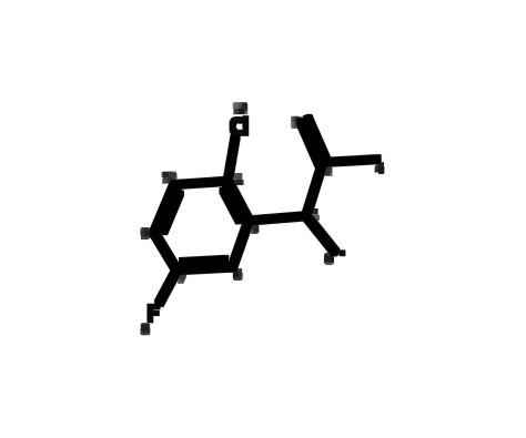 [CH2]C(C(=C)C)c1cc(F)ccc1Cl